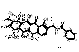 C[C@@H]1c2ccc(CNC(=O)c3ccccc3)c(O)c2C(=O)C2=C(O)[C@@]3(O)C(=O)C(C(N)=O)=C(O)[C@H](N(C)C)[C@H]3[C@H](O)[C@H]21